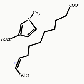 CCCCCCCC/C=C\CCCCCCCC(=O)[O-].CCCCCCCC[n+]1ccn(C)c1